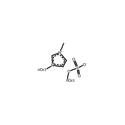 CCCCCCCCOS(=O)(=O)[O-].CCCCCCCCn1cc[n+](C)c1